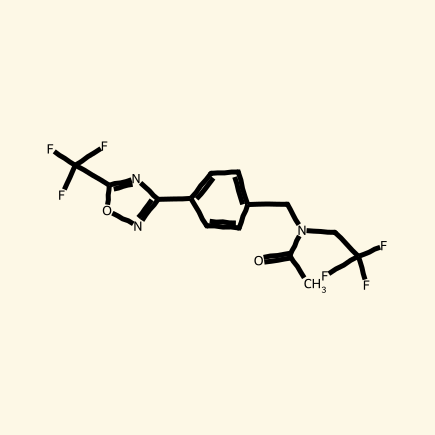 CC(=O)N(Cc1ccc(-c2noc(C(F)(F)F)n2)cc1)CC(F)(F)F